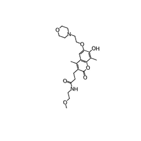 COCCNC(=O)CCc1c(C)c2cc(OCCN3CCOCC3)c(O)c(C)c2oc1=O